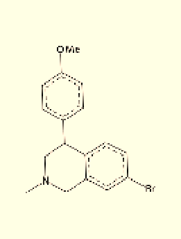 COc1ccc(C2CN(C)Cc3cc(Br)ccc32)cc1